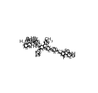 Cn1cc(-c2cc(Nc3ncc(Br)c(Nc4cnc5ccccc5c4P(C)(C)=O)n3)c(OCC(F)(F)F)cc2N2CCC(N3CCN(CCc4cc(F)c(C5CCC(=O)NC5=O)c(F)c4)CC3)CC2)cn1